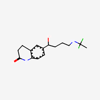 CC(Cl)(Cl)NCCCC(O)c1ccc2c(c1)CCC(=O)N2